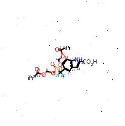 CC(C)C(=O)OCOP(=O)(OCOC(=O)C(C)C)C(F)(F)c1ccc2[nH]c(C(=O)O)cc2c1